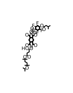 CC(C)CC(=O)Oc1c(F)c(F)c(S(=O)(=O)On2c(=O)c3cc4c(=O)n(OC(O)CCC(=O)OC(C)(C)CCC(C)(C)OC(C)C)c(=O)c4cc3c2=O)c(F)c1F